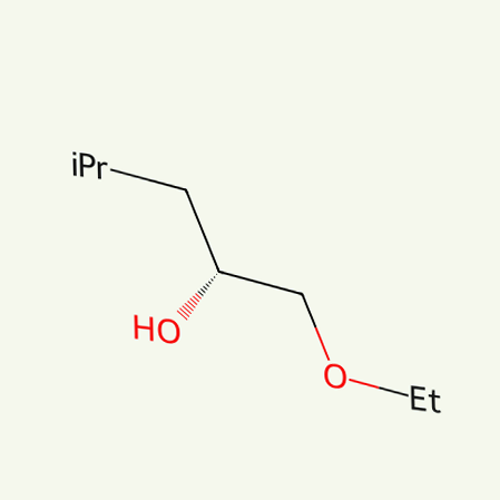 CCOC[C@H](O)CC(C)C